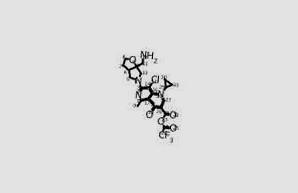 Cc1nc(N2CC3CCOC3(CN)C2)c(Cl)c2c1c(=O)c(C(=O)OC(=O)C(F)(F)F)cn2C1CC1